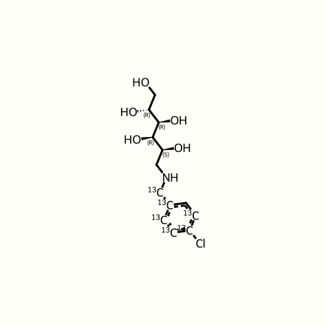 OC[C@@H](O)[C@@H](O)[C@H](O)[C@@H](O)CN[13CH2][13c]1c[13cH][13c](Cl)[13cH][13cH]1